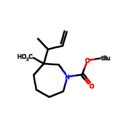 C=CC(C)C1(C(=O)O)CCCCN(C(=O)OC(C)(C)C)C1